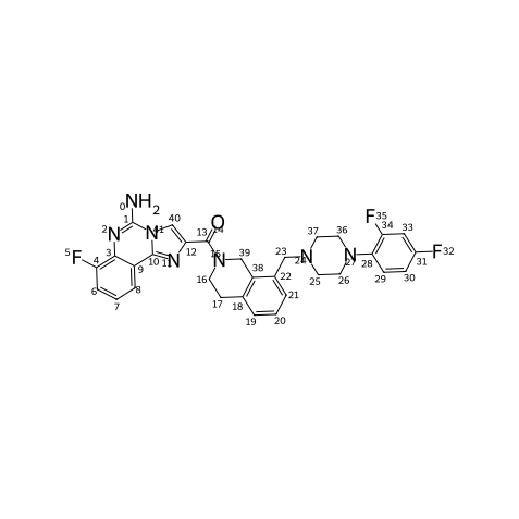 Nc1nc2c(F)cccc2c2nc(C(=O)N3CCc4cccc(CN5CCN(c6ccc(F)cc6F)CC5)c4C3)cn12